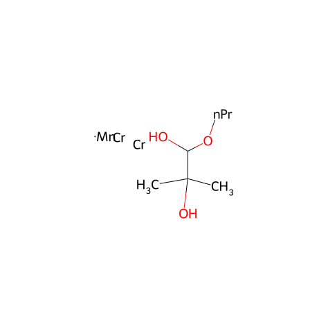 CCCOC(O)C(C)(C)O.[Cr].[Cr].[Mn]